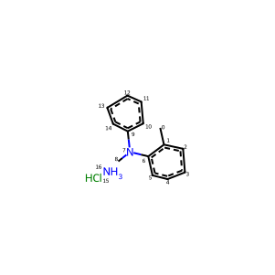 Cc1ccccc1N(C)c1ccccc1.Cl.N